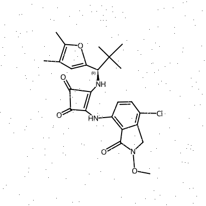 CON1Cc2c(Cl)ccc(Nc3c(N[C@@H](c4cc(C)c(C)o4)C(C)(C)C)c(=O)c3=O)c2C1=O